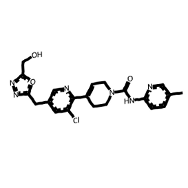 Cc1ccc(NC(=O)N2CC=C(c3ncc(Cc4nnc(CO)o4)cc3Cl)CC2)nc1